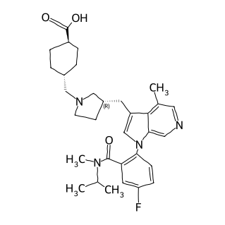 Cc1cncc2c1c(C[C@@H]1CCN(C[C@H]3CC[C@H](C(=O)O)CC3)C1)cn2-c1ccc(F)cc1C(=O)N(C)C(C)C